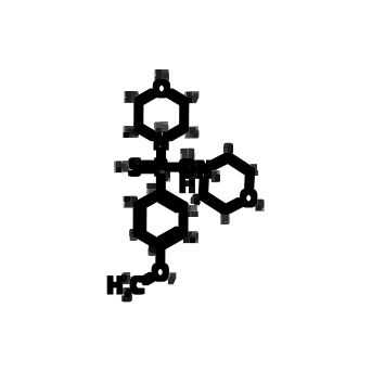 C1COCCN1.COc1ccc(P(O)(=S)N2CCOCC2)cc1